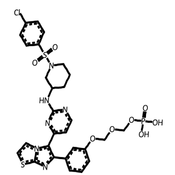 O=P(O)(O)OCOCOc1cccc(-c2nc3sccn3c2-c2ccnc(NC3CCCN(S(=O)(=O)c4ccc(Cl)cc4)C3)n2)c1